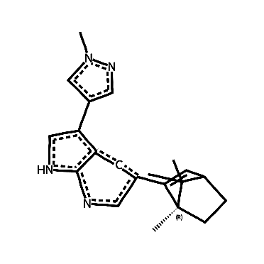 Cn1cc(-c2c[nH]c3ncc(C4=CC5CC[C@]4(C)C5(C)C)cc23)cn1